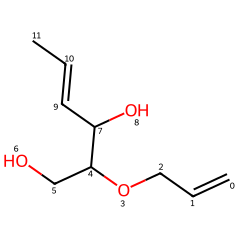 C=CCOC(CO)C(O)C=CC